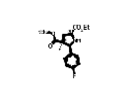 CCOC(=O)[C@@H]1C[C@](C)(C(=O)OC(C)(C)C)C(c2ccc(F)cc2)N1